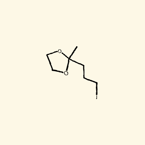 CC1(CCCI)OCCO1